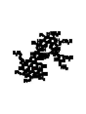 CSCC[C@H](NC(=O)[C@H](CC(=O)O)NC(=O)CN)C(=O)N[C@@H](CCC(=O)O)C(=O)N[C@@H](CC(=O)O)C(=O)N[C@H](C(=O)N[C@@H](CC(C)C)C(=O)N[C@@H](CC(C)C)C(=O)N[C@@H](CC(N)=O)C(=O)N[C@@H](CS)C(=O)N[C@H](C(=O)N[C@@H](CC(C)C)C(=O)N[C@@H](CC(C)C)C(=O)N[C@@H](CCCCN)C(=O)N[C@@H](CCCNC(=N)N)C(=O)O)[C@@H](C)O)C(C)C